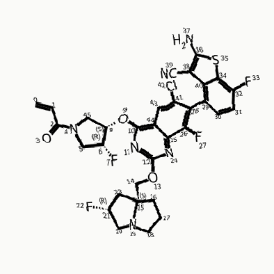 C=CC(=O)N1C[C@@H](F)[C@@H](Oc2nc(OC[C@@]34CCCN3C[C@H](F)C4)nc3c(F)c(-c4ccc(F)c5sc(N)c(C#N)c45)c(Cl)cc23)C1